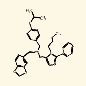 CCCCn1c(CN(Cc2ccc(OC(C)C)cc2)Cc2ccc3c(c2)OCO3)cnc1-c1ccccc1